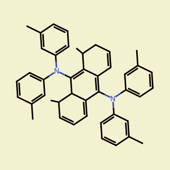 Cc1cccc(N(C2=C3C=CCC(C)C3=C(N(c3cccc(C)c3)c3cccc(C)c3)C3C2=CC=CC3C)c2cccc(C)c2)c1